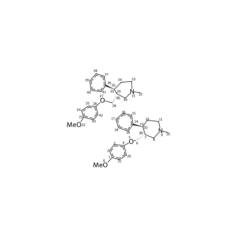 COc1ccc(OC[C@H]2CN(C)CC[C@@H]2c2ccccc2)cc1.COc1ccc(OC[C@H]2CN(C)CC[C@@H]2c2ccccc2)cc1